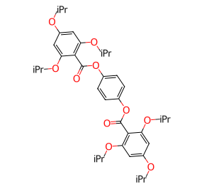 CC(C)Oc1cc(OC(C)C)c(C(=O)Oc2ccc(OC(=O)c3c(OC(C)C)cc(OC(C)C)cc3OC(C)C)cc2)c(OC(C)C)c1